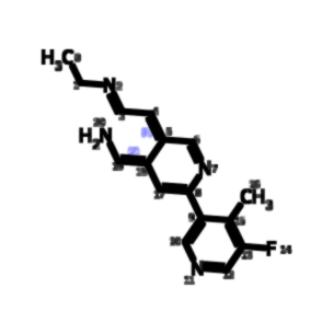 CCN=C/C=c1/cnc(-c2cncc(F)c2C)c/c1=C/N